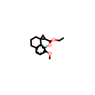 CCOC(=O)C1CC12CCCc1ccc(OC)c(F)c12